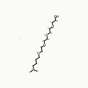 CN(C)CCCCOCCOCCSCCOCCO